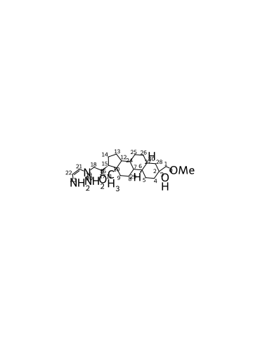 COC[C@@]1(O)CC[C@@H]2C3CC[C@@]4(C)C(CC[C@@H]4C(=O)CN(N)/C=C\N)C3CC[C@H]2C1